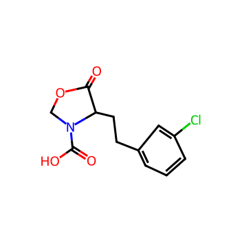 O=C1OCN(C(=O)O)C1CCc1cccc(Cl)c1